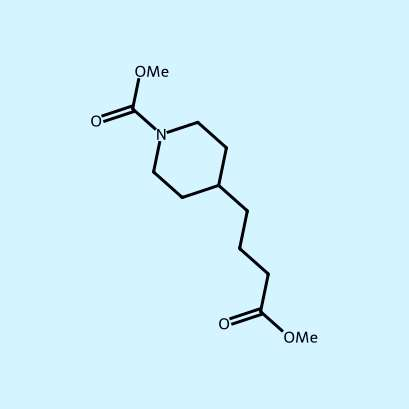 COC(=O)CCCC1CCN(C(=O)OC)CC1